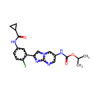 CC(C)OC(=O)Nc1cnc2nc(-c3cc(NC(=O)C4CC4)ccc3F)cn2c1